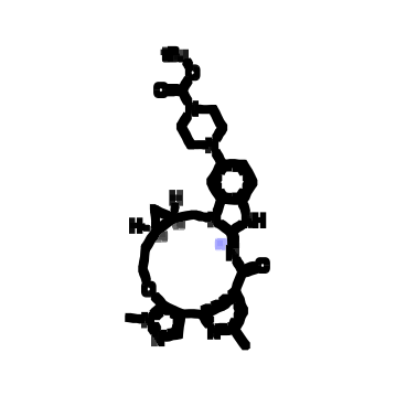 Cc1cc2cc(n1)-c1cnn(C)c1OCC[C@H]1C[C@@H]1CN1/C(=N/C2=O)Nc2ccc(N3CCN(C(=O)OC(C)(C)C)CC3)cc21